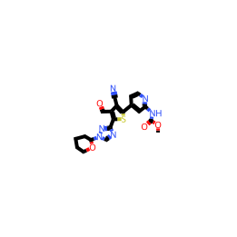 COC(=O)Nc1cc(-c2sc(-c3ncn(C4CCCCO4)n3)c(C=O)c2C#N)ccn1